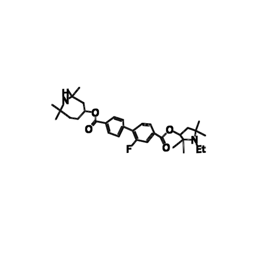 CCN1C(C)(C)CC(OC(=O)c2ccc(-c3ccc(C(=O)OC4CCC(C)(C)NC(C)(C)C4)cc3)c(F)c2)C1(C)C